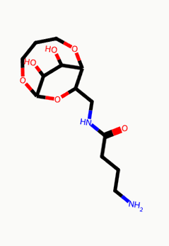 NCCCC(=O)NCC1OC2OCCCOC1C(O)C2O